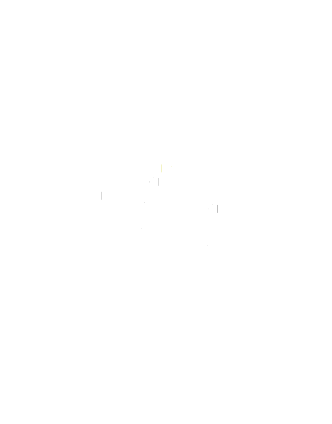 CC(C)=CC(CS)C(C)(C)C